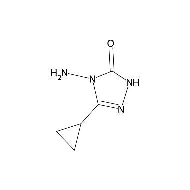 Nn1c(C2CC2)n[nH]c1=O